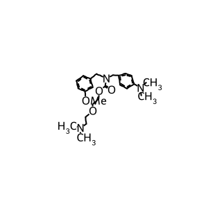 COc1cccc(CN(Cc2ccc(N(C)C)cc2)C(=O)OCCOCCN(C)C)c1